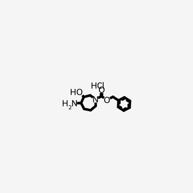 Cl.NC1CCCN(C(=O)OCc2ccccc2)CC1O